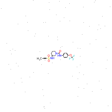 CC#CS(=O)(=O)N[C@@H]1CCCN(C(=O)Nc2ccc(OC(F)(F)F)cc2)C1